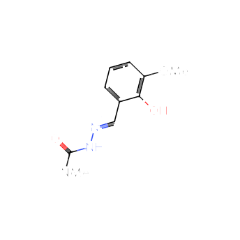 CNC(=O)N/N=C/c1cccc(OC)c1O